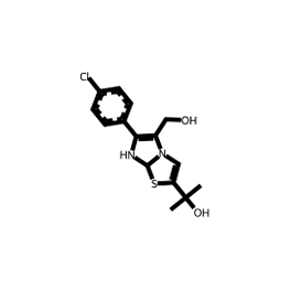 CC(C)(O)C1=CN2C(CO)=C(c3ccc(Cl)cc3)NC2S1